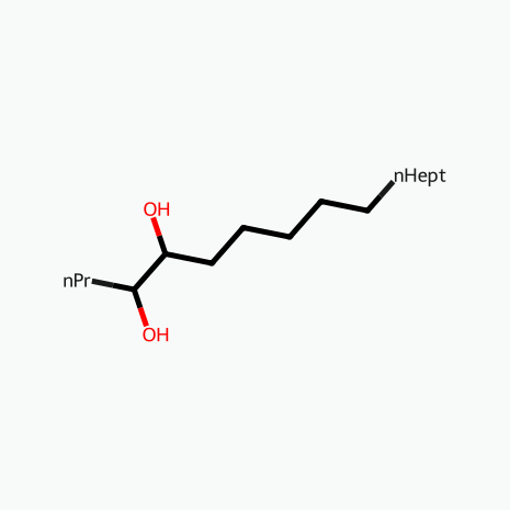 CCCCCCCCCCCCC(O)C(O)CCC